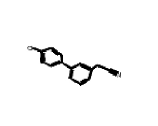 N#CCc1cccc(-c2ccc(Cl)cc2)c1